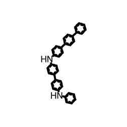 c1ccc(Nc2ccc(-c3ccc(Nc4ccc(-c5ccc(-c6ccccc6)cc5)cc4)cc3)cc2)cc1